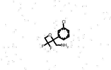 NCC1(c2cccc(Cl)c2)OCC1(F)F